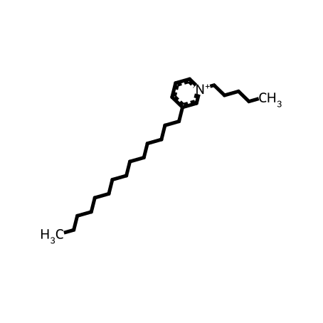 CCCCCCCCCCCCCCc1ccc[n+](CCCCC)c1